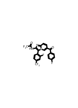 O=C(c1ccc(F)cc1)c1ccc2nc(NC(=O)C(F)(F)F)c(-c3ccc(C(F)(F)F)cc3F)n2c1